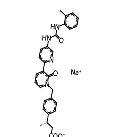 Cc1ccccc1NC(=O)Nc1ccc(-c2cccn(Cc3ccc([C@@H](C)CC(=O)[O-])cc3)c2=O)nc1.[Na+]